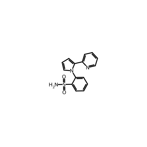 NS(=O)(=O)c1ccccc1-n1cccc1-c1ccccn1